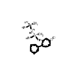 CCC[N+](C)(CCC)CCC.CCC[N+](C)(CCC)CCC.[Cl-].[Cl-].c1ccc(-c2ccccc2)cc1